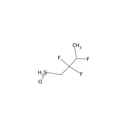 CC(F)C(F)(F)C[SiH2][O]